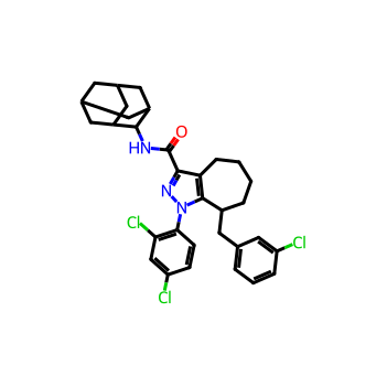 O=C(NC1C2CC3CC(C2)CC1C3)c1nn(-c2ccc(Cl)cc2Cl)c2c1CCCCC2Cc1cccc(Cl)c1